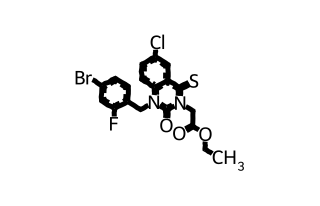 CCOC(=O)Cn1c(=S)c2cc(Cl)ccc2n(Cc2ccc(Br)cc2F)c1=O